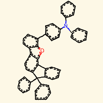 c1ccc(N(c2ccccc2)c2ccc(-c3cccc4c3oc3c5c(ccc34)C(c3ccccc3)(c3ccccc3)c3ccccc3-5)cc2)cc1